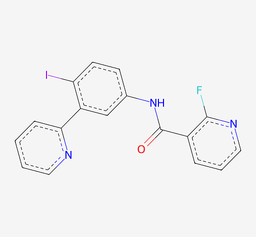 O=C(Nc1ccc(I)c(-c2ccccn2)c1)c1cccnc1F